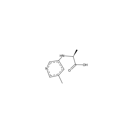 Cc1cncc(N[C@@H](C)C(=O)O)c1